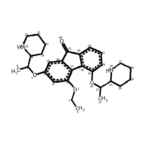 CCOc1cc(OC(C)C2CCCCN2)cc2c1-c1c(OC(C)C3CCCCN3)cccc1C2=O